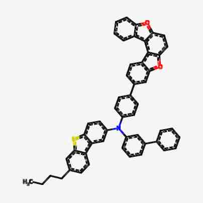 CCCCc1ccc2c(c1)sc1ccc(N(c3ccc(-c4ccc5c(c4)oc4ccc6oc7ccccc7c6c45)cc3)c3cccc(-c4ccccc4)c3)cc12